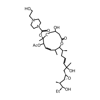 CC[C@H](O)[C@@H](C)[C@H]1O[C@@H]1CC(C)(O)/C=C/C[C@H](C)C1OC(=O)CC(O)CCC(C)(OC(=O)N2CCN(CCO)CC2)C(OC(C)=O)C=CC1C